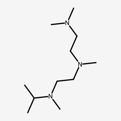 CC(C)N(C)CCN(C)CCN(C)C